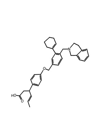 CC=CC(CC(=O)O)c1ccc(OCc2ccc(CN3CCc4ccccc4C3)c(C3=CCCCC3)c2)cc1